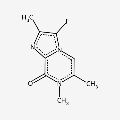 Cc1nc2c(=O)n(C)c(C)cn2c1F